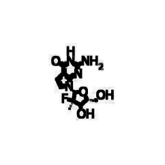 C[C@@]1(F)C(O)[C@@H](CO)O[C@H]1n1ccc2c(=O)[nH]c(N)nc21